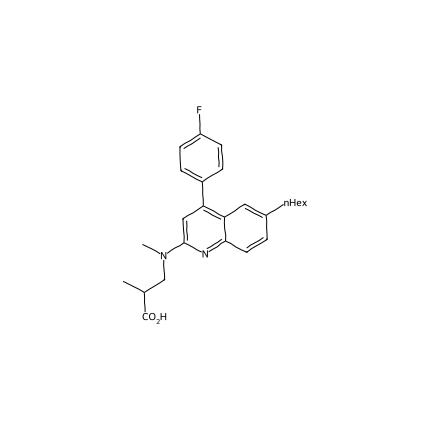 CCCCCCc1ccc2nc(N(C)CC(C)C(=O)O)cc(-c3ccc(F)cc3)c2c1